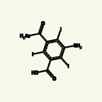 Nc1c(I)c(C(=O)O)c(I)c(C(=O)[AsH2])c1I